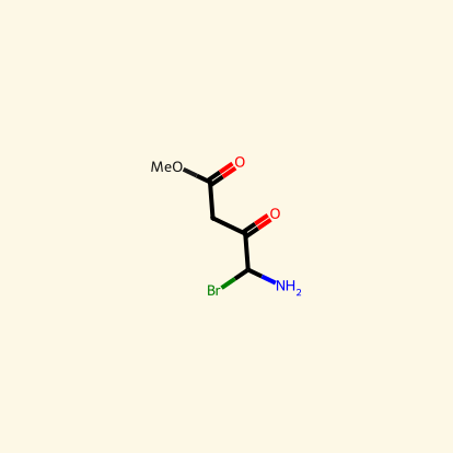 COC(=O)CC(=O)C(N)Br